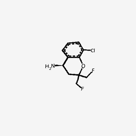 N[C@@H]1CC(CF)(CF)Oc2c(Cl)cccc21